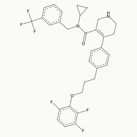 O=C(C1=C(c2ccc(CCCOc3c(F)ccc(F)c3F)cc2)CCNC1)N(Cc1cccc(C(F)(F)F)c1)C1CC1